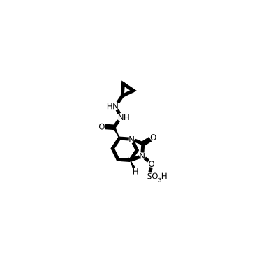 O=C(NNC1CC1)[C@@H]1CC[C@@H]2CN1C(=O)N2OS(=O)(=O)O